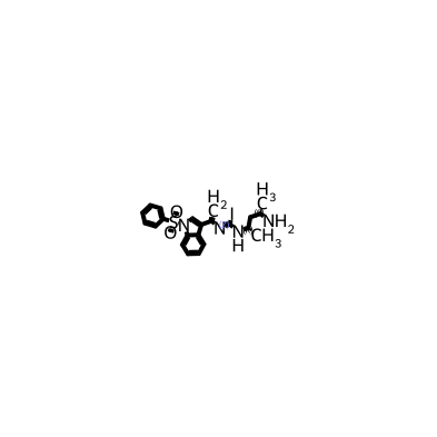 C=C(/N=C(\I)N[C@H](C)C[C@H](C)N)c1cn(S(=O)(=O)c2ccccc2)c2ccccc12